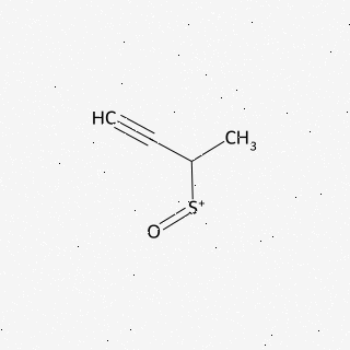 C#CC(C)[S+]=O